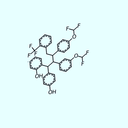 Oc1ccc(C(c2cc[c]cc2O)C(c2cccc(OC(F)F)c2)C(Cc2ccccc2C(F)(F)F)c2ccc(OC(F)F)cc2)cc1